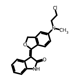 CN(CCCl)c1ccc2c(c1)COC2=C1C(=O)Nc2ccccc21